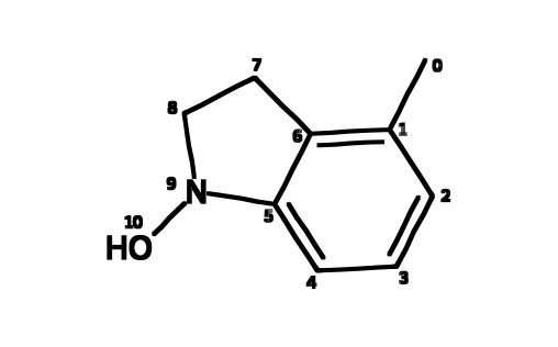 Cc1cccc2c1CCN2O